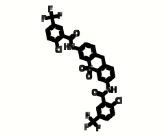 O=C(Nc1ccc2c(c1)S(=O)(=O)c1cc(NC(=O)c3cc(C(F)(F)F)ccc3Cl)ccc1C2)c1cc(C(F)(F)F)ccc1Cl